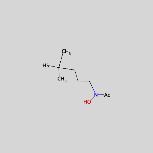 CC(=O)N(O)CCCC(C)(C)S